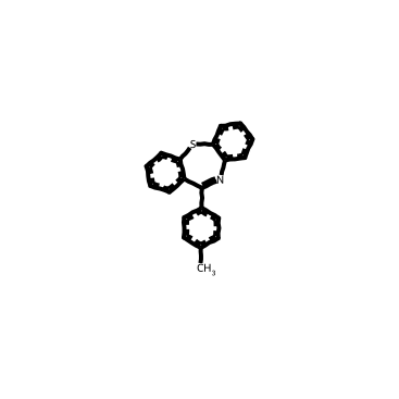 Cc1ccc(C2=Nc3ccccc3Sc3ccccc32)cc1